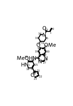 C=CC(=O)N1CCC(Oc2cc3c(NC4=C(OC)NCC(c5ccco5)=C4)ncnc3cc2OC)CC1